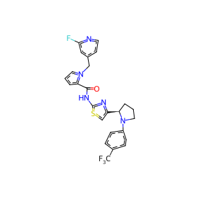 O=C(Nc1nc([C@H]2CCCN2c2ccc(C(F)(F)F)cc2)cs1)c1cccn1Cc1ccnc(F)c1